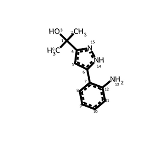 CC(C)(O)c1cc(-c2ccccc2N)[nH]n1